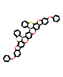 c1ccc(Oc2ccc3c(c2)oc2c4c5c(cc23)Oc2cc3c(cc2B5c2ccccc2S4)B2c4ccccc4Sc4c2c(cc2c4oc4cc(Oc5ccccc5)ccc42)O3)cc1